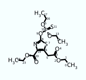 CCOC(=O)Cc1sc(OP(=S)(OCC)OCC)nc1C(=O)OCC